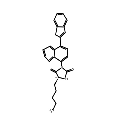 C=C1[C@H](CCCCN)NC(=O)N1c1ccc(C2=Cc3ccccc3C2)c2ccccc12